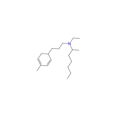 CCCCCC(C)N(CC)CCCC1C=CC(C)=CC1